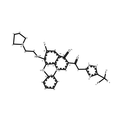 O=C(Cc1nnc(C(F)(F)F)s1)c1cn2c3c(c(NCCN4CCCC4)c(F)cc3c1=O)Oc1ccccc1-2